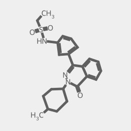 CCS(=O)(=O)Nc1cccc(-c2nn(C3CCC(C)CC3)c(=O)c3ccccc23)c1